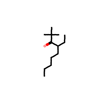 CCCCCC(CC)C(=O)C(C)(C)C